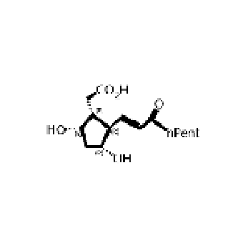 CCCCCC(=O)C=C[C@@H]1[C@@H](CC(=O)O)[C@@H](O)C[C@H]1O